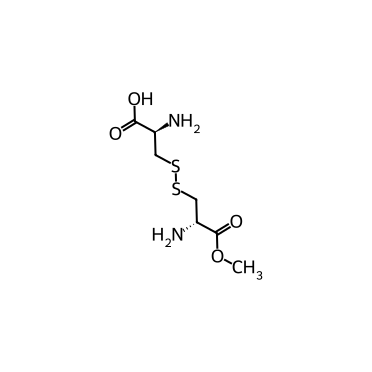 COC(=O)[C@H](N)CSSC[C@H](N)C(=O)O